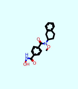 CON(C(=O)c1ccc(C(=O)NO)cc1)C1CCc2ccccc2C1